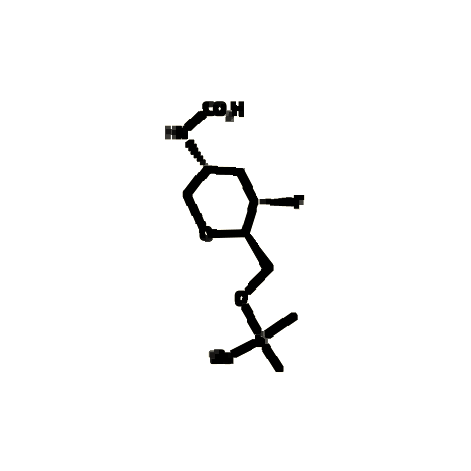 CC(C)(C)[Si](C)(C)OC[C@H]1OC[C@H](NC(=O)O)C[C@@H]1F